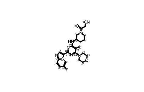 N#CCC(=O)N1CCCC(Nc2nc(-c3cnc4ccc(F)cn34)nc(N3CCOCC3)c2F)C1